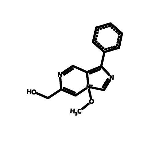 CO[N+]12C=NC(c3ccccc3)=C1C=NC(CO)=C2